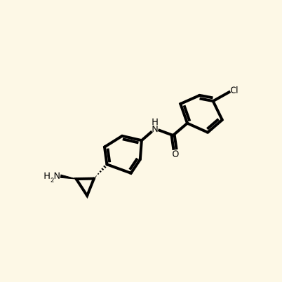 N[C@@H]1C[C@H]1c1ccc(NC(=O)c2ccc(Cl)cc2)cc1